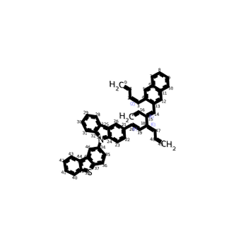 C=C/C=C\c1cc2ccccc2cc1/C=C(C=C)/C(/C=C/c1ccc2c(c1)c1ccccc1n2-c1ccc2sc3ccccc3c2c1)=C/C=C